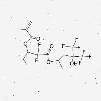 C=C(C)C(=O)OC(CC)C(F)(F)C(=O)OC(C)CC(O)(C(F)(F)F)C(F)(F)F